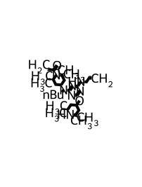 C=CCNc1nc(OC2CC(C)(C)NC(C)(C)C2)nc(N(CCCC)C2CC(C)(C)N(C(=O)C=C)C(C)(C)C2)n1